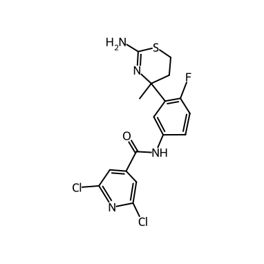 CC1(c2cc(NC(=O)c3cc(Cl)nc(Cl)c3)ccc2F)CCSC(N)=N1